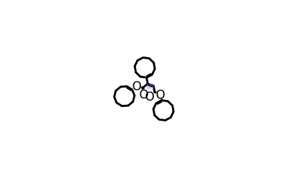 O=C(/C=C(\C(=O)OC1=CCCCCCCCC1)C1=CCCCCCCCC1)OC1=CCCCCCCCC1